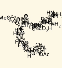 COc1ccc(C(OCC/C(C)=N\NC(=O)Nc2ccc3[nH]c(C(=O)Nc4ccc5[nH]c(C(=O)N6CC(C)c7c6cc(OC(C)=O)c6ccccc76)cc5c4)cc3c2)OCCN2C(=O)CC(SCCNC(=O)[C@H](CC(=O)O)NC(=O)CNC(=O)[C@H](CCCNC(=N)N)NC(=O)CN)C2=O)cc1